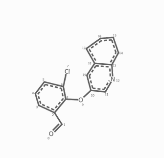 O=Cc1cccc(Cl)c1Oc1cnc2ccccc2c1